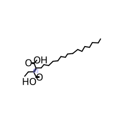 CCCCCCCCCCCCCCCC/C(C(=O)O)=C(/CC)C(=O)O